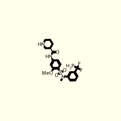 COc1cc(NC(=O)[C@@H]2CCCNC2)ccc1S(=O)(=O)N(C)c1cccc(C(F)(F)P)c1